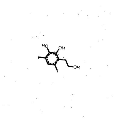 OCCc1c(I)cc(I)c(O)c1O